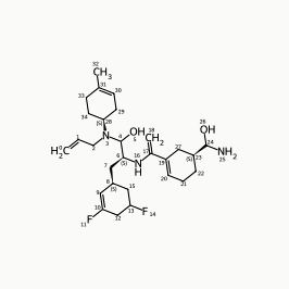 C=CCN(C(O)[C@H](C[C@@H]1C=C(F)CC(F)C1)NC(=C)C1=CCC[C@H](C(N)O)C1)[C@@H]1CC=C(C)CC1